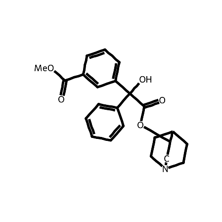 COC(=O)c1cccc(C(O)(C(=O)OC2CN3CCC2CC3)c2ccccc2)c1